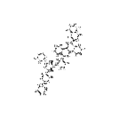 c1ccc(-c2cc(-c3ccc(-c4ccccn4)cc3)nc(-c3cccc(-c4cc5c6ccccc6c(-c6ccc7ccccc7c6)cc5c5ccccc45)c3)n2)cc1